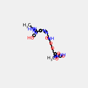 CCCCNc1ncc2c(-c3ccc(CN4CCN(CCCC(=O)NCCCOCCCOCCCc5ccc6c(c5)n(C)c(=O)n6C5CCC(=O)NC5=O)CC4)cc3)cn([C@H]3CC[C@H](O)CC3)c2n1